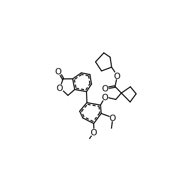 COc1ccc(-c2cccc3c2COC3=O)c(OCC2(C(=O)OC3CCCC3)CCC2)c1OC